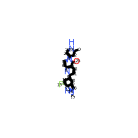 CC1CC(n2ccc3nc(-c4cc(F)c5nn(C)cc5c4)ccc3c2=O)=CCN1